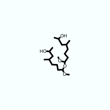 COC(CCCC(C)CC(C)O)OC(CCCC(C)CC(C)O)OC